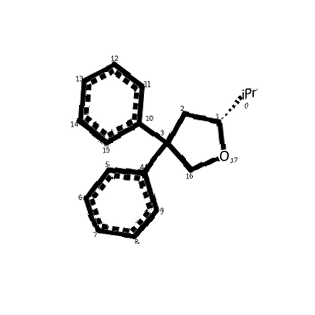 CC(C)[C@H]1CC(c2ccccc2)(c2ccccc2)CO1